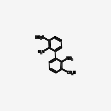 O=C(O)c1cccc(-c2cccc(C(=O)O)c2[N+](=O)[O-])c1[N+](=O)[O-]